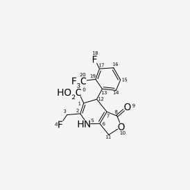 O=C(O)C1=C(CF)NC2=C(C(=O)OC2)C1c1cccc(F)c1C(F)(F)F